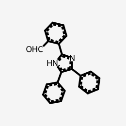 O=Cc1ccccc1-c1nc(-c2ccccc2)c(-c2ccccc2)[nH]1